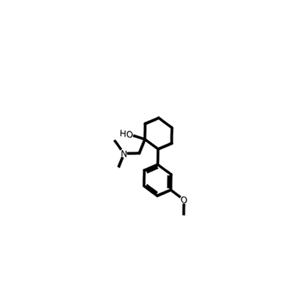 COc1cccc(C2CCCCC2(O)CN(C)C)c1